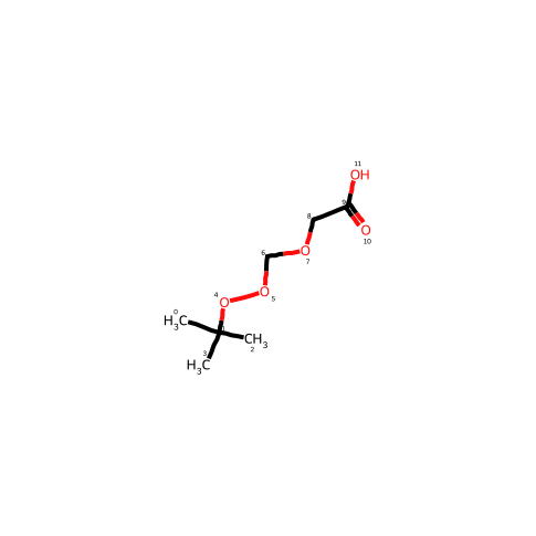 CC(C)(C)OOCOCC(=O)O